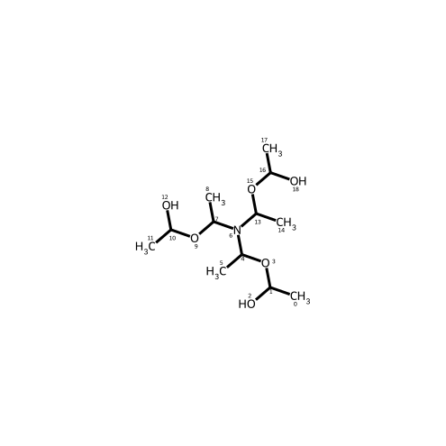 CC(O)OC(C)N(C(C)OC(C)O)C(C)OC(C)O